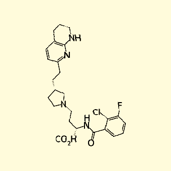 O=C(N[C@@H](CCN1CC[C@H](CCc2ccc3c(n2)NCCC3)C1)C(=O)O)c1cccc(F)c1Cl